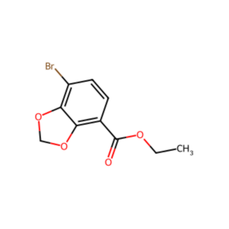 CCOC(=O)c1ccc(Br)c2c1OCO2